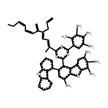 Bc1cc(-c2nc(/C(C)=C/C=C(\CC=C)C(=C)/C=C\C=C/CC)nc(-c3c(-c4cccc5oc6ccccc6c45)cc(B)c4oc5c(B)c(B)c(B)cc5c34)n2)c(B)c(B)c1B